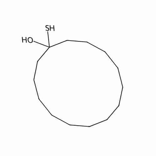 OC1(S)CCCCCCCCCCCCC1